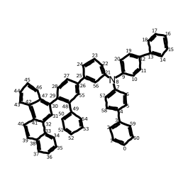 c1ccc(-c2ccc(N(c3ccc(-c4ccccc4)cc3)c3cccc(-c4ccc(-c5cc6c7ccccc7ccc6c6ccccc56)c(-c5ccccc5)c4)c3)cc2)cc1